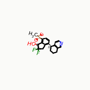 CS(=O)(=O)c1ccc([C@@H]2CCCc3cnccc32)c2c1[C@H](O)C(F)(F)C2